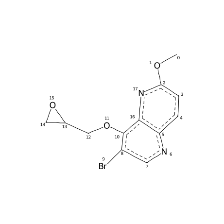 COc1ccc2ncc(Br)c(OCC3CO3)c2n1